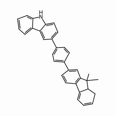 CC1(C)c2cc(-c3ccc(-c4ccc5[nH]c6ccccc6c5c4)cc3)ccc2C2=CC=CCC21